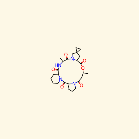 CC1CC(=O)N2CCCC2C(=O)N2CCCCC2C(=O)NC(C)C(=O)N2CC3(CC3)CC2C(=O)O1